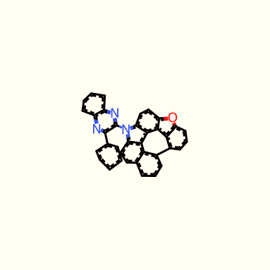 c1ccc(-c2nc3ccccc3nc2-n2c3ccc4cccc5c4c3c3c4c(ccc32)oc2cccc-5c24)cc1